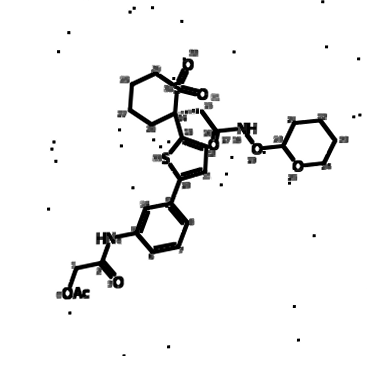 CC(=O)OCC(=O)Nc1cccc(-c2ccc([C@@]3(CC(=O)NOC4CCCCO4)CCCCS3(=O)=O)s2)c1